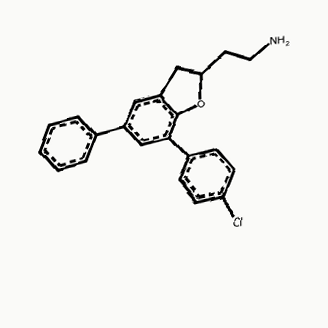 NCCC1Cc2cc(-c3ccccc3)cc(-c3ccc(Cl)cc3)c2O1